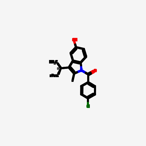 CCCCC[C@@H](C(=O)O)c1c(C)n(C(=O)c2ccc(Cl)cc2)c2ccc(O)cc12